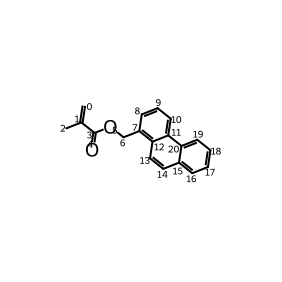 C=C(C)C(=O)OCc1cccc2c1ccc1ccccc12